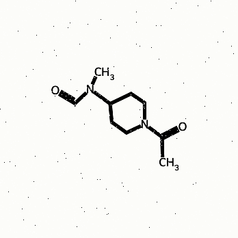 CC(=O)N1CCC(N(C)[C]=O)CC1